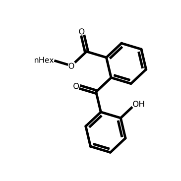 CCCCCCOC(=O)c1ccccc1C(=O)c1ccccc1O